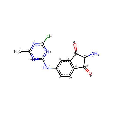 Cc1nc(Cl)nc(Nc2ccc3c(c2)C(=O)C(N)C3=O)n1